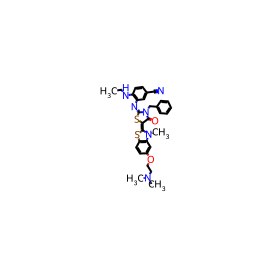 CCNc1ccc(C#N)cc1/N=C1/S/C(=C2\Sc3ccc(OCCN(C)C)cc3N2C)C(=O)N1Cc1ccccc1